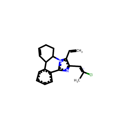 C=Cc1c(/C=C(\C)Cl)nc2n1C1CCC=CC1c1ccccc1-2